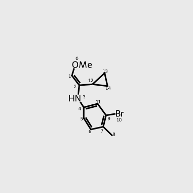 CO/C=C(/Nc1ccc(C)c(Br)c1)C1CC1